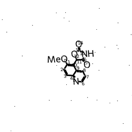 COc1ccc2ncccc2c1C1OC(=O)NC1=O